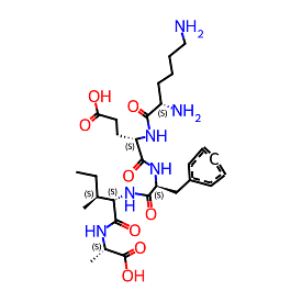 CC[C@H](C)[C@H](NC(=O)[C@H](Cc1ccccc1)NC(=O)[C@H](CCC(=O)O)NC(=O)[C@@H](N)CCCCN)C(=O)N[C@@H](C)C(=O)O